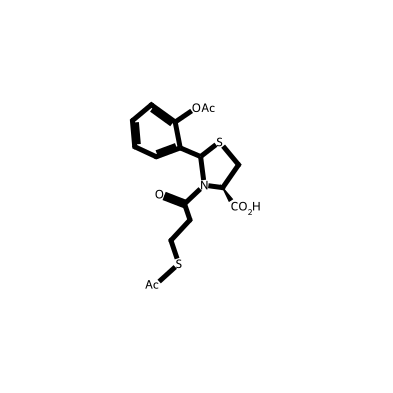 CC(=O)Oc1ccccc1C1SC[C@@H](C(=O)O)N1C(=O)CCSC(C)=O